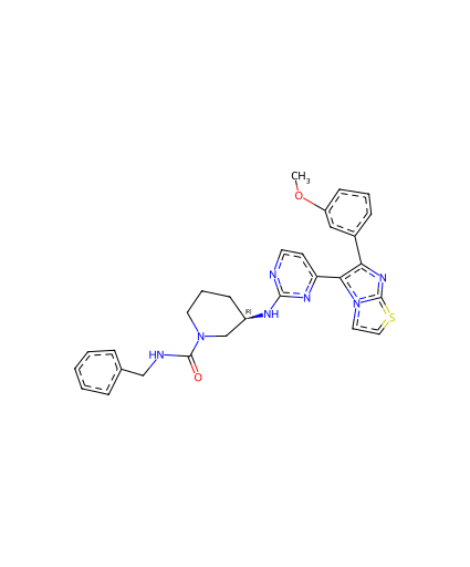 COc1cccc(-c2nc3sccn3c2-c2ccnc(N[C@@H]3CCCN(C(=O)NCc4ccccc4)C3)n2)c1